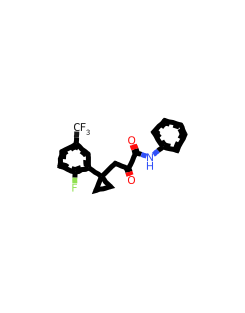 O=C(CC1(c2cc(C(F)(F)F)ccc2F)CC1)C(=O)Nc1ccccc1